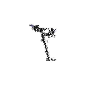 C/C=C1\C[C@H]2C=Nc3cc(OCc4cc(COc5cc6c(cc5OC)C(=O)N5C/C(=C/C)C[C@H]5C=N6)cc(C(C)(C)SCC(=O)NCCOCCOCCOCCOCCC(=O)NC)c4)c(OC)cc3C(=O)N2C1